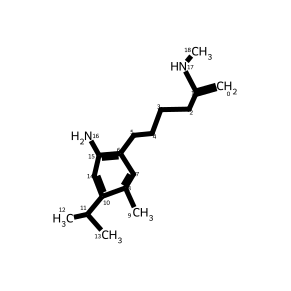 C=C(CCCCc1cc(C)c(C(C)C)cc1N)NC